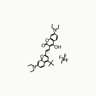 CCN(CC)c1ccc2c(O)c(/C=C/c3cc(C(C)(C)C)c4ccc(N(CC)CC)cc4[o+]3)c(=O)oc2c1.F[B-](F)(F)F